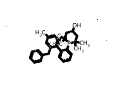 Cc1cc(P)c(-c2ccccc2P2C(C)(C)CC(O)CC2(C)C)c(Cc2ccccc2)c1